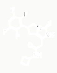 O=C(Cc1[nH]c(=S)n2c1CC(c1c(F)c(F)cc(F)c1F)C2)NC1CCC1